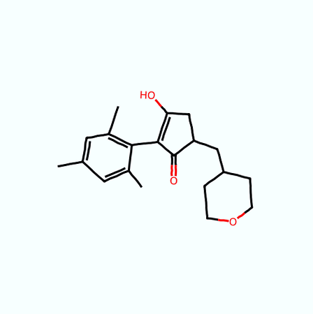 Cc1cc(C)c(C2=C(O)CC(CC3CCOCC3)C2=O)c(C)c1